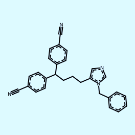 N#Cc1ccc(C(CCCc2cncn2Cc2ccccc2)c2ccc(C#N)cc2)cc1